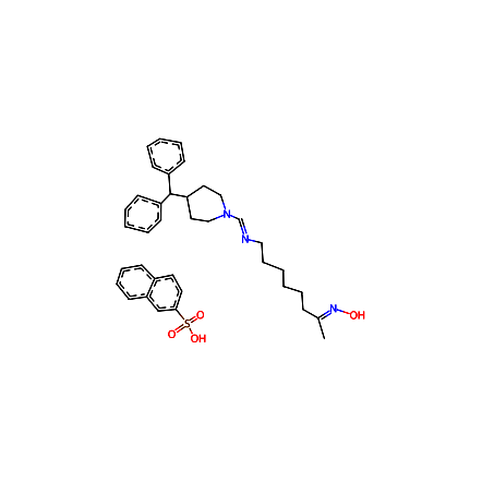 CC(CCCCCCN=CN1CCC(C(c2ccccc2)c2ccccc2)CC1)=NO.O=S(=O)(O)c1ccc2ccccc2c1